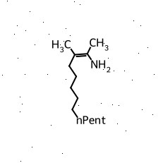 CCCCCCCCCCC(C)=C(C)N